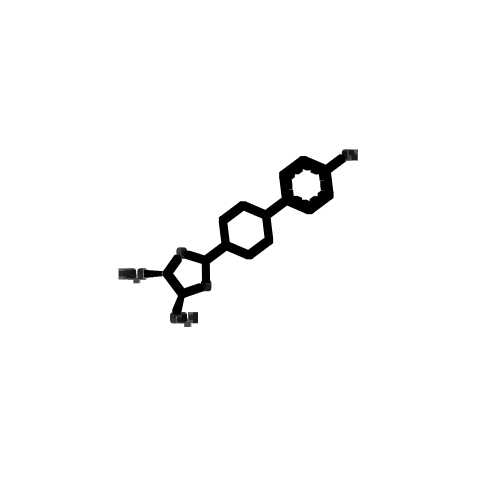 N#Cc1ccc(C2CCC(C3O[C@@H](C(=O)O)[C@H](C(=O)O)O3)CC2)cc1